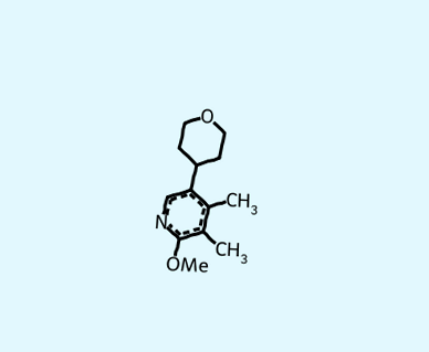 COc1ncc(C2CCOCC2)c(C)c1C